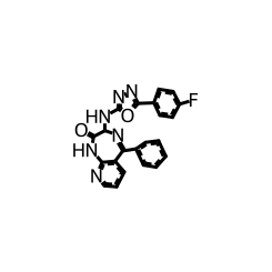 O=C1Nc2ncccc2C(c2ccccc2)=NC1Nc1nnc(-c2ccc(F)cc2)o1